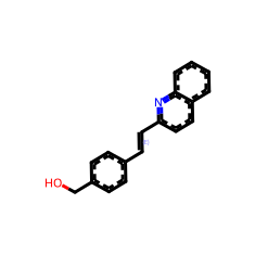 OCc1ccc(/C=C/c2ccc3ccccc3n2)cc1